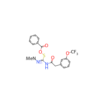 CN/N=C(/NC(=O)Cc1cccc(OC(F)(F)F)c1)SOC(=O)c1ccccc1